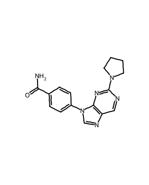 NC(=O)c1ccc(-n2cnc3cnc(N4CCCC4)nc32)cc1